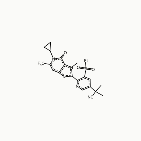 CCS(=O)(=O)c1cc(C(C)(C)C#N)cnc1-c1nc2cc(C(F)(F)F)n(C3CC3)c(=O)c2n1C